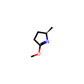 COC1=N[C@H](C)CC1